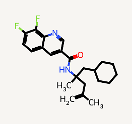 C=C(C)CC(C)(CC1CCCCC1)NC(=O)c1cnc2c(F)c(F)ccc2c1